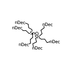 CCCCCCCCCCCC[CH2][Sn]([CH2]CCCCCCCCCCCC)([CH2]CCCCCCCCCCCC)[O][Sn]([CH2]CCCCCCCCCCCC)([CH2]CCCCCCCCCCCC)[CH2]CCCCCCCCCCCC